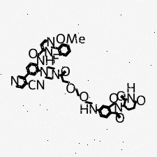 COc1cccc(F)c1-c1nccc(C(=O)Nc2ccc(-c3cnccc3C#N)cc2N2CCN(C(=O)CCOCCOCCNc3ccc4c(c3)C(=O)N(C3CCC(=O)NC3=O)C4=O)CC2)n1